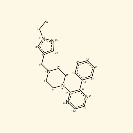 CCn1cc(CN2CCN(c3nccnc3-c3ccccc3)CC2)cn1